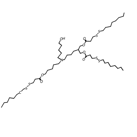 CCCCCCCCSSCCC(=O)OCCCCCN(CCCCCO)CCCCC(COC(=O)CCSSCCCCCCCC)COC(=O)CCSSCCCCCCCC